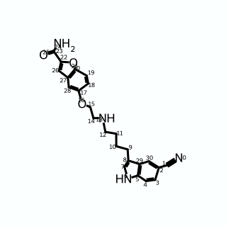 N#Cc1ccc2[nH]cc(CCCCNCCOc3ccc4oc(C(N)=O)cc4c3)c2c1